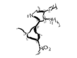 Cn1cc([N+](=O)[O-])cc1-c1nnc(S)n1N